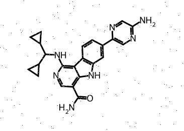 NC(=O)c1cnc(NC(C2CC2)C2CC2)c2c1[nH]c1cc(-c3cnc(N)cn3)ccc12